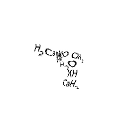 O.O.O.[CaH2].[CaH2].[KH].[NaH]